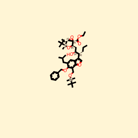 CCC[C@H](c1coc2c(CO[Si](C)(C)C(C)(C)C)c(OCc3ccccc3)c(CC(C)C)cc12)[C@@H](O)C[C@@H](O[Si](C)(C)C(C)(C)C)[C@]1(C(=O)OCC)O[C@H]1CC